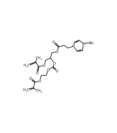 C=C(C)C(=O)OCCOC(=O)OC(COC(=O)CCN1C=CN(CCCC)C=C1)COC(=O)C(=C)C